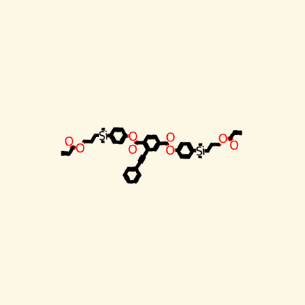 C=CC(=O)OCCC[Si](C)(C)c1ccc(OC(=O)c2ccc(C(=O)Oc3ccc([Si](C)(C)CCCOC(=O)C=C)cc3)c(C#Cc3ccccc3)c2)cc1